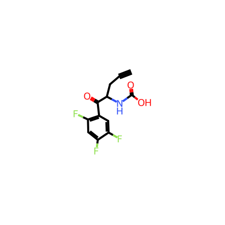 C#CCC(NC(=O)O)C(=O)c1cc(F)c(F)cc1F